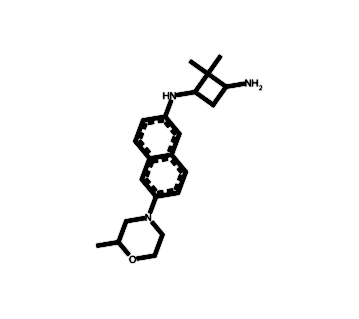 CC1CN(c2ccc3cc(NC4CC(N)C4(C)C)ccc3c2)CCO1